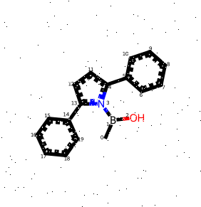 CB(O)n1c(-c2ccccc2)ccc1-c1ccccc1